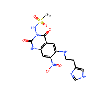 CS(=O)(=O)Nn1c(=O)[nH]c2cc([N+](=O)[O-])c(NCCc3c[nH]cn3)cc2c1=O